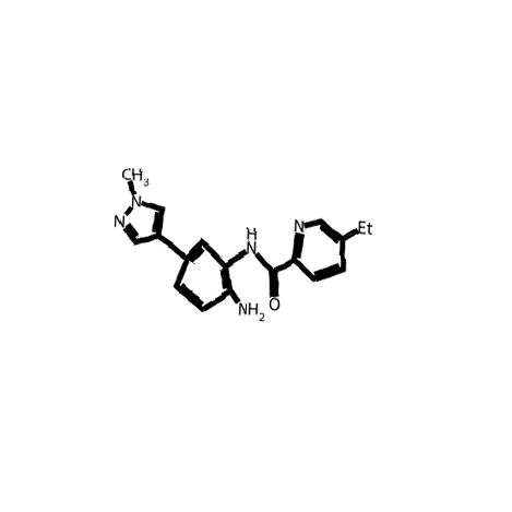 CCc1ccc(C(=O)Nc2cc(-c3cnn(C)c3)ccc2N)nc1